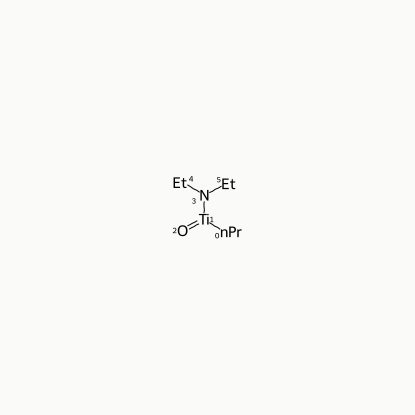 CC[CH2][Ti](=[O])[N](CC)CC